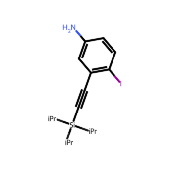 CC(C)[Si](C#Cc1cc(N)ccc1I)(C(C)C)C(C)C